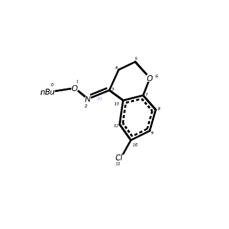 CCCCO/N=C1\CCOc2ccc(Cl)cc21